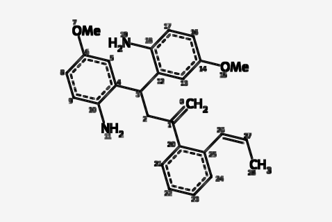 C=C(CC(c1cc(OC)ccc1N)c1cc(OC)ccc1N)c1ccccc1/C=C\C